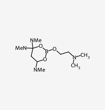 CNC1CC(NC)(NC)OB(OCCN(C)C)O1